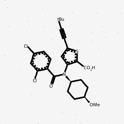 CO[C@H]1CC[C@@H](N(C(=O)c2ccc(Cl)cc2Cl)c2cc(C#CC(C)(C)C)sc2C(=O)O)CC1